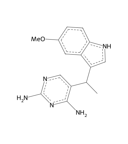 COc1ccc2[nH]cc(C(C)c3cnc(N)nc3N)c2c1